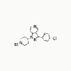 CCN1CCC(n2nc(-c3ccc(Cl)cc3)c3cnccc32)CC1